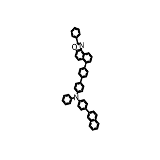 c1ccc(-c2nc3c(ccc4c(-c5ccc(-c6ccc(N(c7ccccc7)c7ccc(-c8ccc9ccccc9c8)cc7)cc6)cc5)cccc43)o2)cc1